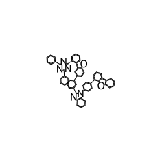 c1ccc(-c2nc(-c3ccccc3)nc(-c3cccc4oc5ccc(-c6cccc(-c7nc8ccccc8n7-c7ccc(-c8cccc9c8oc8ccccc89)cc7)c6)cc5c34)n2)cc1